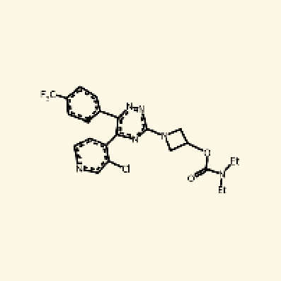 CCN(CC)C(=O)OC1CN(c2nnc(-c3ccc(C(F)(F)F)cc3)c(-c3ccncc3Cl)n2)C1